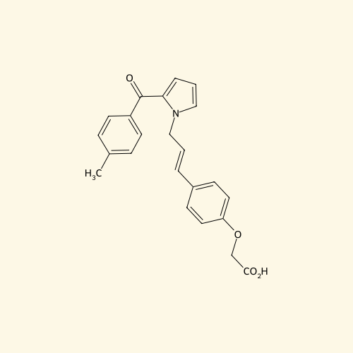 Cc1ccc(C(=O)c2cccn2CC=Cc2ccc(OCC(=O)O)cc2)cc1